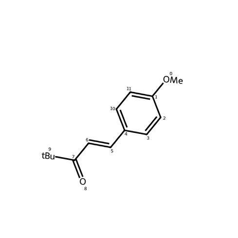 COc1ccc(/C=C/C(=O)C(C)(C)C)cc1